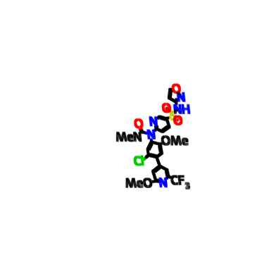 CNC(=O)N(c1ccc(S(=O)(=O)Nc2ccon2)cn1)c1cc(Cl)c(-c2cc(OC)nc(C(F)(F)F)c2)cc1OC